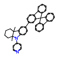 CC12CCCCC1(C)N(c1ccncc1)c1ccc(-c3ccc4c(c3)C3(c5ccccc5-c5ccccc53)c3ccccc3-4)cc12